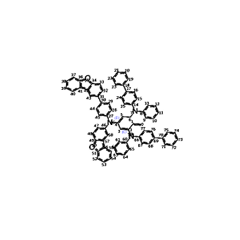 C=C/C(=C\C(=C/CN(c1ccccc1)c1ccc(-c2ccccc2)cc1)N(c1ccc(-c2ccc3oc4ccccc4c3c2)cc1)c1ccc2oc3ccccc3c2c1)N(c1ccccc1)c1ccc(-c2ccccc2)cc1